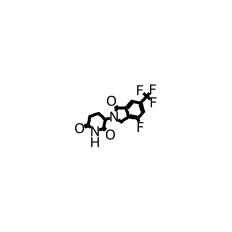 O=C1CCC(N2Cc3c(F)cc(C(F)(F)F)cc3C2=O)C(=O)N1